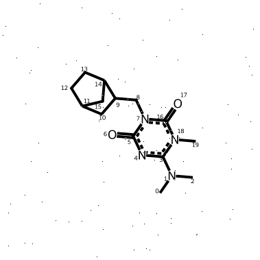 CN(C)c1nc(=O)n(CC2CC3CCC2C3)c(=O)n1C